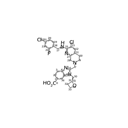 O=C(O)c1ccc2nc(CN3CCc4cc(Cl)c(NCc5ccc(Cl)cc5F)nc4C3)n(C[C@@H]3CCO3)c2c1